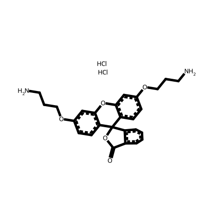 Cl.Cl.NCCCOc1ccc2c(c1)Oc1cc(OCCCN)ccc1C21OC(=O)c2ccccc21